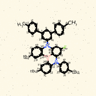 Cc1ccc(-c2cc(-c3ccc(C)cc3)cc(N3c4ccc(C(C)(C)C)cc4B4c5cc(C(C)(C)C)ccc5N(c5ccc(C(C)(C)C)cc5)c5cc(F)cc3c54)c2)cc1